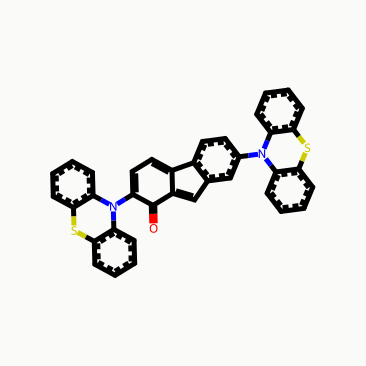 O=C1C2=Cc3cc(N4c5ccccc5Sc5ccccc54)ccc3C2=CC=C1N1c2ccccc2Sc2ccccc21